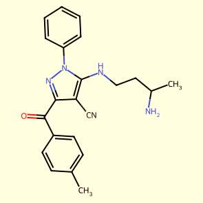 Cc1ccc(C(=O)c2nn(-c3ccccc3)c(NCCC(C)N)c2C#N)cc1